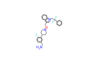 NCc1ccc(F)c(C2CCN(OCc3cn(CC(F)(F)c4ccccc4)c4ccccc34)CC2)c1